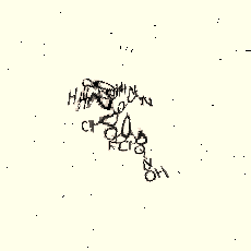 CC(CO)(NCc1cc(Cl)c(O[C@@H]2c3cccc(-c4cccc(OCCCN5CC(O)C5)c4Cl)c3C[C@@H]2F)cc1OCc1cncc(C#N)c1)C(=O)O